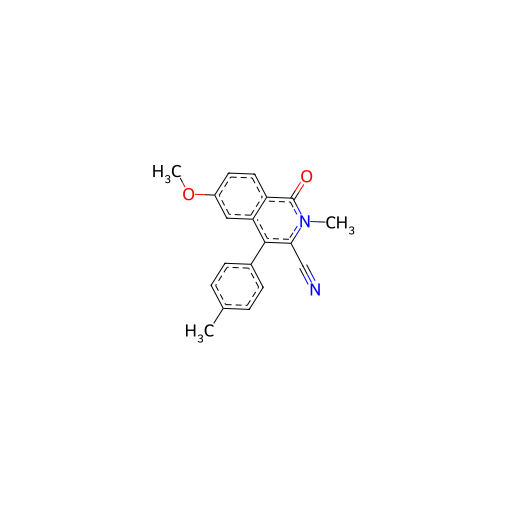 COc1ccc2c(=O)n(C)c(C#N)c(-c3ccc(C)cc3)c2c1